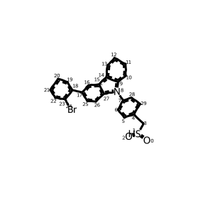 O=[SH](=O)Cc1ccc(-n2c3ccccc3c3cc(-c4ccccc4Br)ccc32)cc1